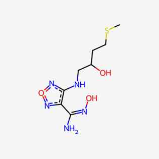 CSCCC(O)CNc1nonc1/C(N)=N\O